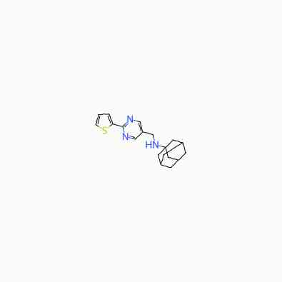 c1csc(-c2ncc(CNC34CC5CC(CC(C5)C3)C4)cn2)c1